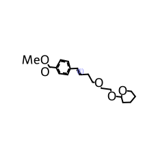 COC(=O)c1ccc(/C=C/CCOCCOC2CCCCO2)cc1